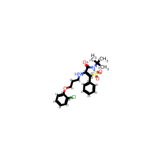 CC(C)(C)N1C(=O)C(NCCCOc2ccccc2Cl)=C(c2ccccc2)S1(=O)=O